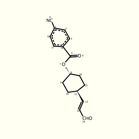 N#Cc1ccc(C(=O)O[C@H]2CC[C@H](/C=C/C=O)CC2)cc1